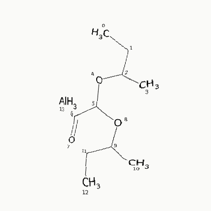 CCC(C)OC([C]=O)OC(C)CC.[AlH3]